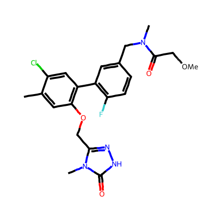 COCC(=O)N(C)Cc1ccc(F)c(-c2cc(Cl)c(C)cc2OCc2n[nH]c(=O)n2C)c1